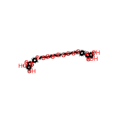 O=c1cc(-c2ccc(OCCOCCOCCOCCOCCOCCOCCOCCOc3ccc(-c4cc(=O)c5c(O)cc(O)cc5o4)cc3)cc2)oc2cc(O)cc(O)c12